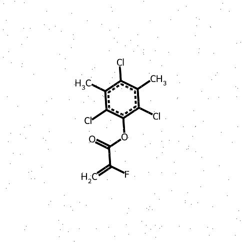 C=C(F)C(=O)Oc1c(Cl)c(C)c(Cl)c(C)c1Cl